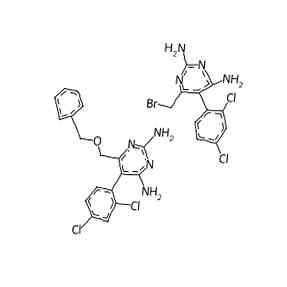 Nc1nc(N)c(-c2ccc(Cl)cc2Cl)c(CBr)n1.Nc1nc(N)c(-c2ccc(Cl)cc2Cl)c(COCc2ccccc2)n1